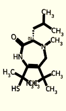 CC(C)C[C@H]1C(=O)NC(C(C)(C)S)=C(C(C)(C)C)CN1C